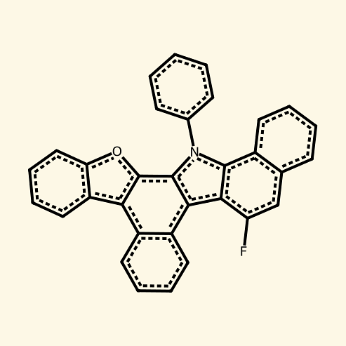 Fc1cc2ccccc2c2c1c1c3ccccc3c3c4ccccc4oc3c1n2-c1ccccc1